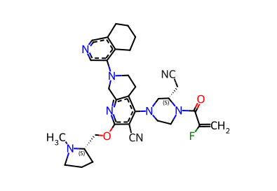 C=C(F)C(=O)N1CCN(c2c(C#N)c(OC[C@@H]3CCCN3C)nc3c2CCN(c2cncc4c2CCCC4)C3)C[C@@H]1CC#N